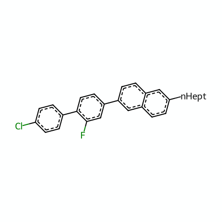 CCCCCCCc1ccc2cc(-c3ccc(-c4ccc(Cl)cc4)c(F)c3)ccc2c1